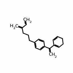 C=CC(=C)CCCc1ccc(C(=C)C2=CCCC=C2)cc1